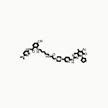 CC(=O)c1c(C)c2cnc(Nc3ccc(N4CCN(CC(=O)NCCCCCNc5cc(C#N)ccc5C(=O)Nc5ccc(N(C)C)nn5)CC4)cn3)nc2n(C2CCCC2)c1=O